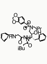 CC[C@H](C)CC(=O)N(NC(=O)CNCc1ccccc1)[C@@H](Cc1ccccc1)[C@H](O)CN(CC(C)C)S(=O)(=O)c1ccc2c(c1)OCO2